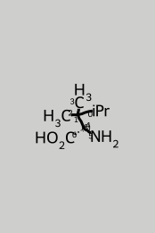 CC(C)C(C)(C)[C@H](N)C(=O)O